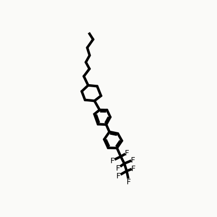 CCCCCCCC1CCC(c2ccc(-c3ccc(C(F)(F)C(F)(F)C(F)(F)F)cc3)cc2)CC1